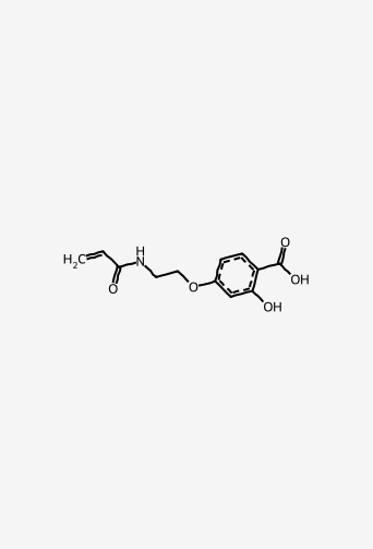 C=CC(=O)NCCOc1ccc(C(=O)O)c(O)c1